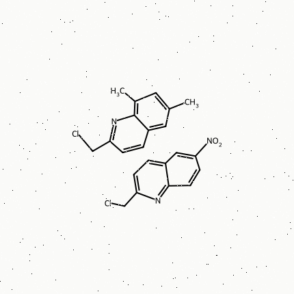 Cc1cc(C)c2nc(CCl)ccc2c1.O=[N+]([O-])c1ccc2nc(CCl)ccc2c1